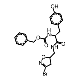 O=C(N[C@@H](Cc1ccc(O)cc1)C(=O)NCC1CC(Br)=NO1)OCc1ccccc1